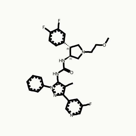 COCCN1C[C@@H](NC(=O)Nc2c(C)c(-c3cncc(F)c3)nn2-c2ccccc2)[C@H](c2ccc(F)c(F)c2)C1